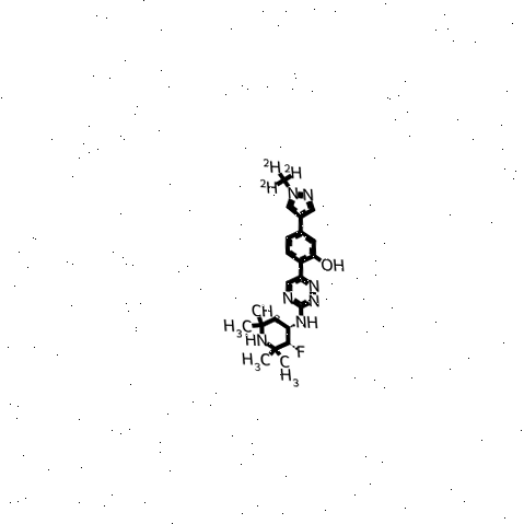 [2H]C([2H])([2H])n1cc(-c2ccc(-c3cnc(N[C@H]4CC(C)(C)NC(C)(C)[C@H]4F)nn3)c(O)c2)cn1